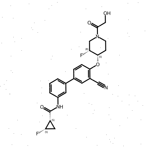 N#Cc1cc(-c2cccc(NC(=O)[C@@H]3C[C@@H]3F)c2)ccc1O[C@H]1CCN(C(=O)CO)C[C@H]1F